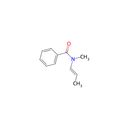 CC=CN(C)C(=O)c1ccccc1